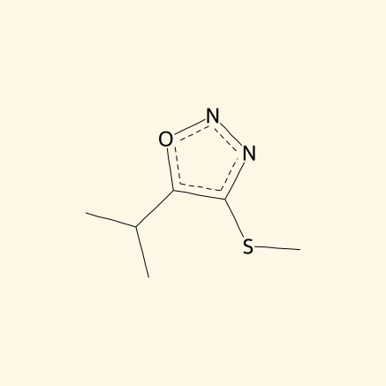 CSc1nnoc1C(C)C